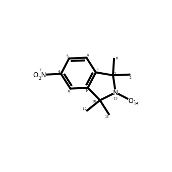 CC1(C)c2ccc([N+](=O)[O-])cc2C(C)(C)N1[O]